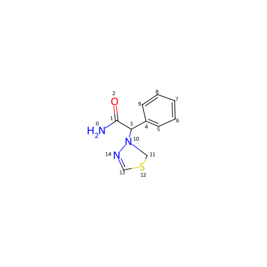 NC(=O)C(c1ccccc1)N1CSC=N1